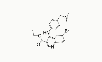 CCOC(=O)c1cnc2ccc(Br)cc2c1Nc1ccc(CN(C)C)cc1